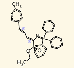 CCOC(=O)/C(=C/C=C/c1ccc(C)cc1)N=P(c1ccccc1)(c1ccccc1)c1ccccc1